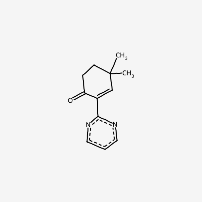 CC1(C)C=C(c2ncccn2)C(=O)CC1